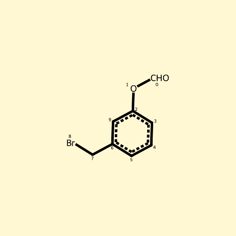 O=COc1cccc(CBr)c1